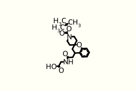 CC(C)(C)OC(=O)N1CCC2(CC1)CC(CC(=O)NCC(=O)O)c1ccccc1O2